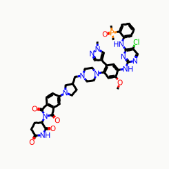 COc1cc(N2CCN(CC3CCN(c4ccc5c(c4)C(=O)N(C4CCC(=O)NC4=O)C5=O)C3)CC2)c(-c2cnn(C)c2)cc1Nc1ncc(Cl)c(Nc2ccccc2P(C)(C)=O)n1